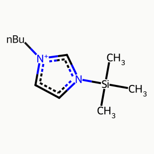 CCCC[n+]1ccn([Si](C)(C)C)c1